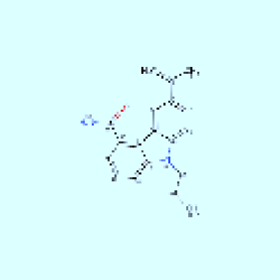 C=C(C)c1ccc2c(c1)c1c(C(N)=O)cccc1n2CCC